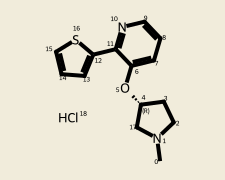 CN1CC[C@@H](Oc2cccnc2-c2cccs2)C1.Cl